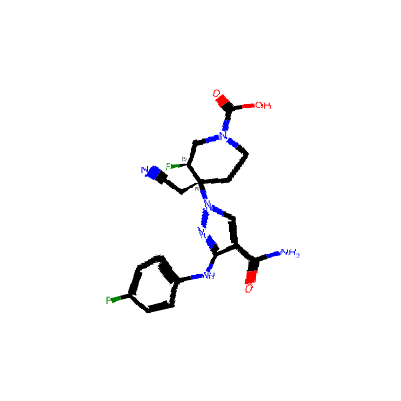 N#CC[C@]1(n2cc(C(N)=O)c(Nc3ccc(F)cc3)n2)CCN(C(=O)O)C[C@@H]1F